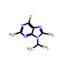 Cc1nc(Cl)c2nc(C)n(C(C)C)c2n1